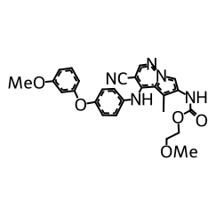 COCCOC(=O)Nc1cn2ncc(C#N)c(Nc3ccc(Oc4cccc(OC)c4)cc3)c2c1C